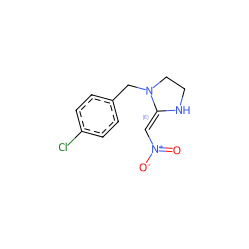 O=[N+]([O-])/C=C1\NCCN1Cc1ccc(Cl)cc1